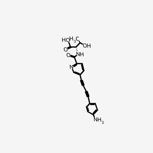 C[C@@H](O)[C@H](NC(=O)c1ccc(C#CC#Cc2ccc(N)cc2)cn1)C(=O)O